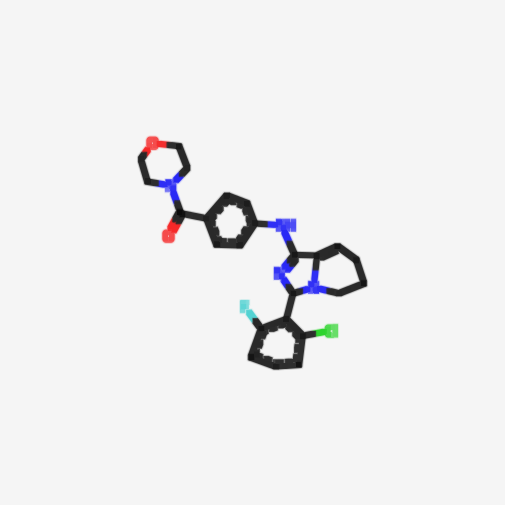 O=C(c1ccc(NC2=NC(c3c(F)cccc3Cl)N3CCCC=C23)cc1)N1CCOCC1